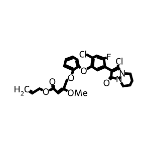 C=CCOC(=O)/C=C(\COc1ccccc1Oc1cc(-c2c(Cl)n3n(c2=O)CCCC3)c(F)cc1Cl)OC